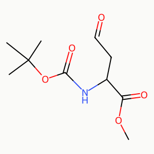 COC(=O)C(CC=O)NC(=O)OC(C)(C)C